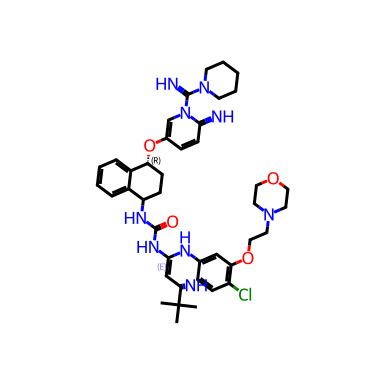 CC(C)(C)C(=N)/C=C(/NC(=O)NC1CC[C@@H](Oc2ccc(=N)n(C(=N)N3CCCCC3)c2)c2ccccc21)Nc1ccc(Cl)c(OCCN2CCOCC2)c1